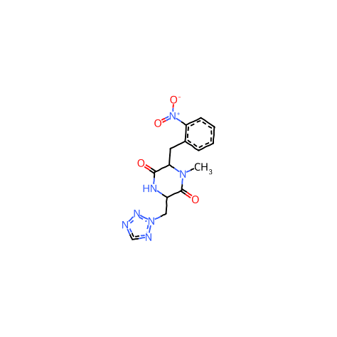 CN1C(=O)C(Cn2ncnn2)NC(=O)C1Cc1ccccc1[N+](=O)[O-]